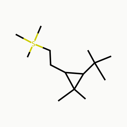 CC(C)(C)C1C(CCS(C)(C)C)C1(C)C